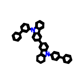 c1ccc(-c2ccc(-n3c4c(c5cc(-c6ccc7c(c6)c6ccccc6n7-c6cccc(-c7ccccc7)c6)ccc53)CCCC4)cc2)cc1